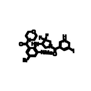 CNc1cc(Br)cc(C(=O)N2CCOCC2)c1NC1CN(C(=O)C2=CNCC(I)=C2)CC1(F)F